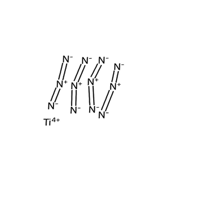 [N-]=[N+]=[N-].[N-]=[N+]=[N-].[N-]=[N+]=[N-].[N-]=[N+]=[N-].[Ti+4]